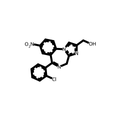 O=[N+]([O-])c1ccc2c(c1)C(c1ccccc1Cl)=NCc1nc(CO)cn1-2